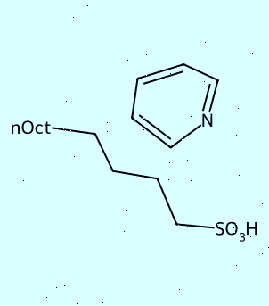 CCCCCCCCCCCCS(=O)(=O)O.c1ccncc1